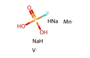 O=P(O)(O)F.[Mn].[NaH].[NaH].[V]